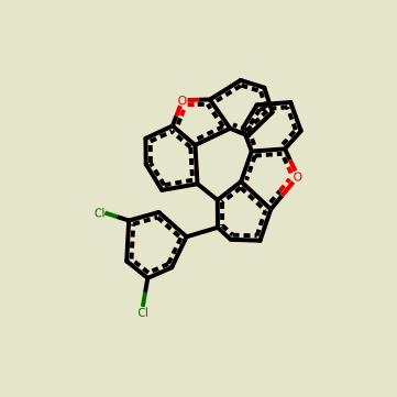 Clc1cc(Cl)cc(-c2ccc3oc4ccccc4c3c2-c2cccc3oc4ccccc4c23)c1